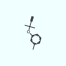 C#CC(C)(C)Oc1cccc(C)c1